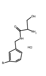 Cl.NC(CO)C(=O)NCc1cccc(Br)c1